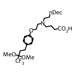 CCCCCCCCCCCCN(CCCC(=O)O)CCOc1ccc(CCC(OC)(OC)C(F)(F)F)cc1